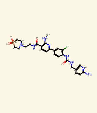 CCNc1nc(-c2ccc(NC(=O)NCc3ccc(N)nc3)c(F)c2)ccc1C(=O)NCCN1CCS(=O)(=O)CC1